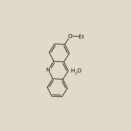 CCOc1ccc2nc3ccccc3cc2c1.O